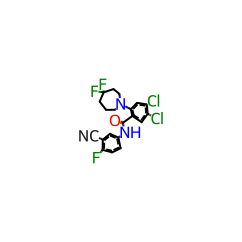 N#Cc1cc(NC(=O)c2cc(Cl)c(Cl)cc2N2CCCC(F)(F)CC2)ccc1F